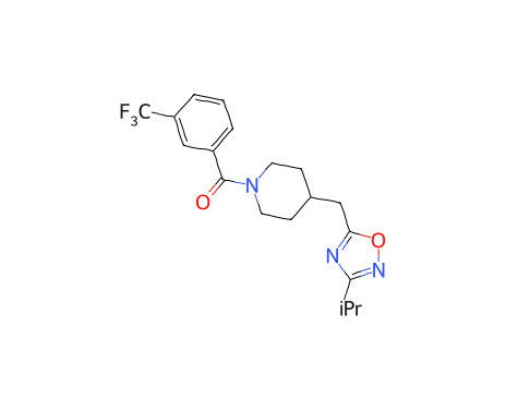 CC(C)c1noc(CC2CCN(C(=O)c3cccc(C(F)(F)F)c3)CC2)n1